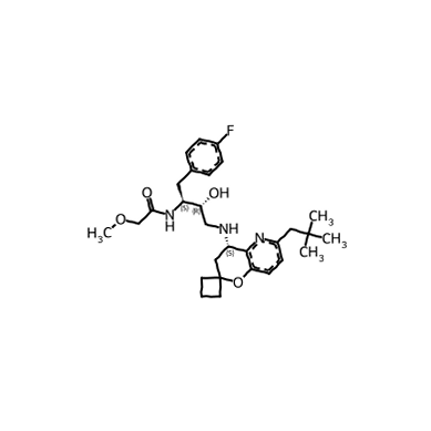 COCC(=O)N[C@@H](Cc1ccc(F)cc1)[C@H](O)CN[C@H]1CC2(CCC2)Oc2ccc(CC(C)(C)C)nc21